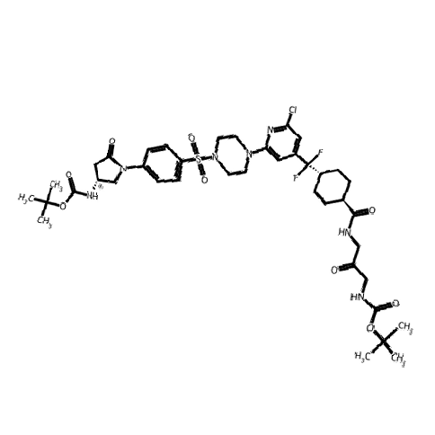 CC(C)(C)OC(=O)NCC(=O)CNC(=O)[C@H]1CC[C@H](C(F)(F)c2cc(Cl)nc(N3CCN(S(=O)(=O)c4ccc(N5C[C@H](NC(=O)OC(C)(C)C)CC5=O)cc4)CC3)c2)CC1